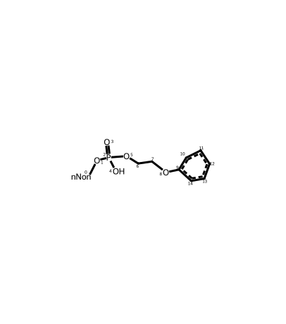 CCCCCCCCCOP(=O)(O)OCCOc1ccccc1